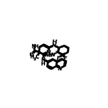 CN[C@@H]1C(NC2=CCC(C)(C(N)=O)C(Nc3ccc4ncccc4c3)=N2)CCCC1(F)F